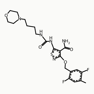 Cc1cc(F)c(COc2nsc(NC(=O)NCCCCN3CCOCC3)c2C(N)=O)cc1F